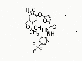 Cc1cc2c(cc1Oc1ccc(C(=O)NNc3ccc(C(F)(F)F)cn3)o1)C(C)(C)OC2